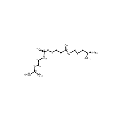 CCCCCCC(N)CCCOC(=O)CCCCC(=O)OCCCC(N)CCCCCC